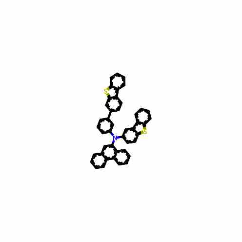 c1cc(-c2ccc3c(c2)sc2ccccc23)cc(N(c2ccc3sc4ccccc4c3c2)c2cc3ccccc3c3ccccc23)c1